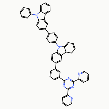 C1=CCC2C(=C1)N(c1ccc(-c3ccc4c(c3)c3ccccc3n4-c3ccccc3)cc1)c1ccc(-c3cccc(-c4nc(-c5ccccn5)nc(-c5ccccn5)n4)c3)cc12